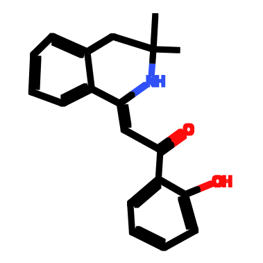 CC1(C)Cc2ccccc2/C(=C/C(=O)c2ccccc2O)N1